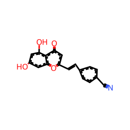 N#Cc1ccc(/C=C/c2cc(=O)c3c(O)cc(O)cc3o2)cc1